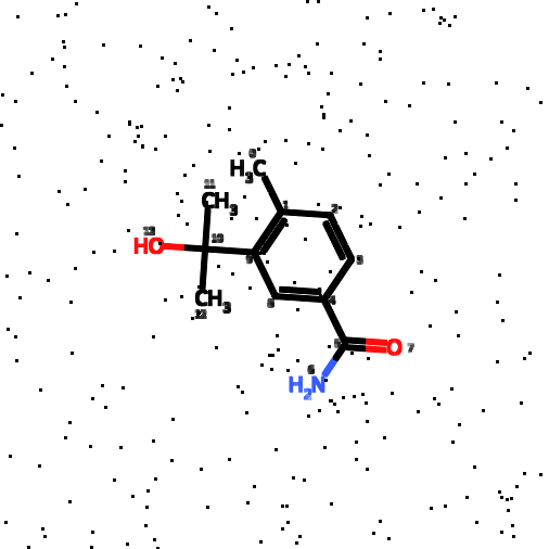 Cc1ccc(C(N)=O)cc1C(C)(C)O